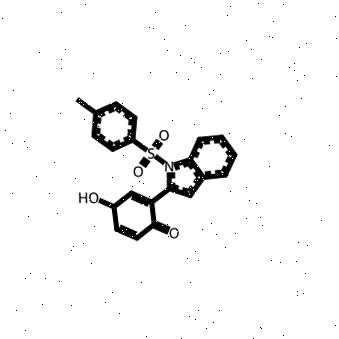 Cc1ccc(S(=O)(=O)n2c(C3=CC(O)C=CC3=O)cc3ccccc32)cc1